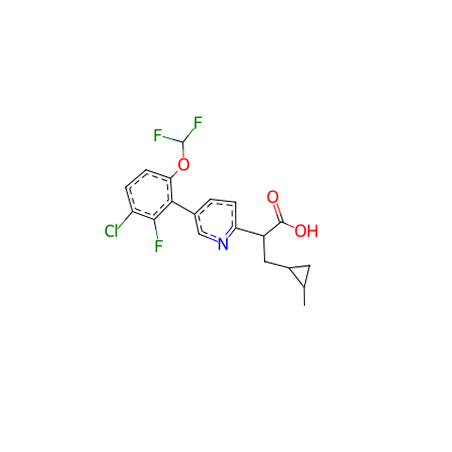 CC1CC1CC(C(=O)O)c1ccc(-c2c(OC(F)F)ccc(Cl)c2F)cn1